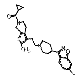 Cc1sc2c(c1CCN1CCC(c3noc4cc(F)ccc34)CC1)CCN(C(=O)C1CC1)C2